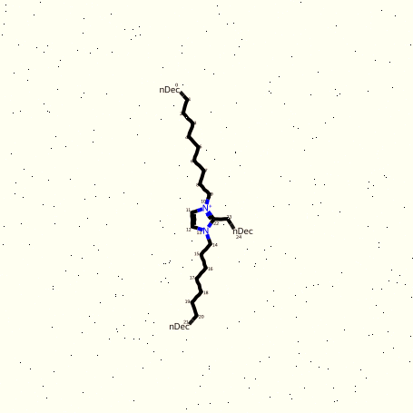 CCCCCCCCCCCCCCCCCCC[n+]1ccn(CCCCCCCCCCCCCCCCC)c1CCCCCCCCCCC